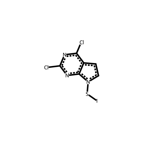 Clc1nc(Cl)c2ccn(SI)c2n1